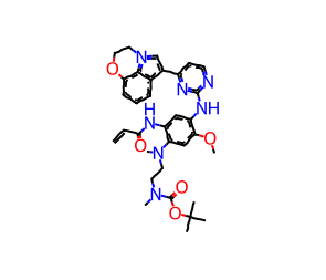 C=CC(=O)Nc1cc(Nc2nccc(-c3cn4c5c(cccc35)OCC4)n2)c(OC)cc1N(C)CCN(C)C(=O)OC(C)(C)C